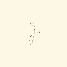 CC(=O)OCC1=C(C(=O)O)N2C(=O)[C@@H](NC(=O)[C@@H](NC(=O)CSc3ccc(Cl)cc3)c3ccccc3)[C@H]2SC1